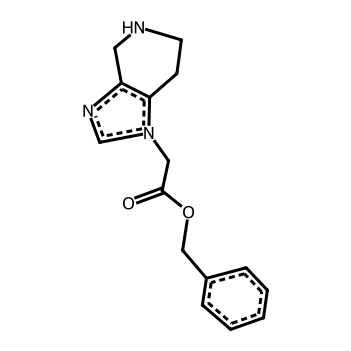 O=C(Cn1cnc2c1CCNC2)OCc1ccccc1